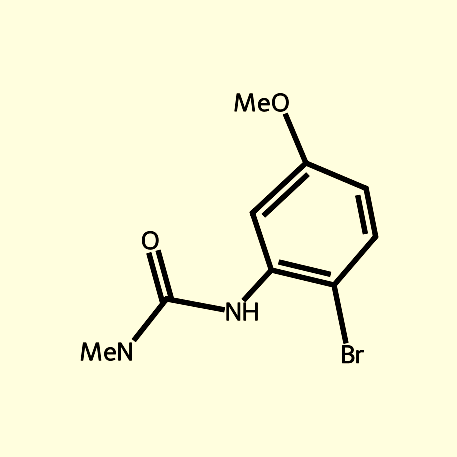 CNC(=O)Nc1cc(OC)ccc1Br